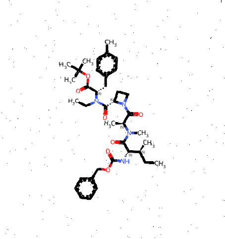 CC[C@H](C)[C@H](NC(=O)OCc1ccccc1)C(=O)N(C)[C@@H](C)C(=O)N1CC[C@H]1C(=O)N(CC)[C@@H](Cc1ccc(C)cc1)C(=O)OC(C)(C)C